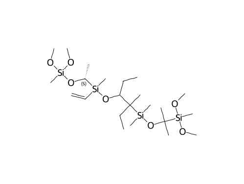 C=C[Si](C)(OC(CC)C(C)(CC)[Si](C)(C)OC(C)(C)[Si](C)(OC)OC)[C@@H](C)O[Si](C)(OC)OC